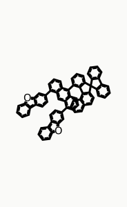 c1ccc2c(c1)-c1ccccc1C21c2cccc(-c3c4cccc(-c5ccc6c(c5)oc5ccccc56)c4cc4c(-c5ccc6c(c5)oc5ccccc56)cccc34)c2-c2c1ccc1ccccc21